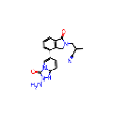 C=C(C#N)CN1Cc2c(cccc2-c2ccc3nn(N)c(=O)n3c2)C1=O